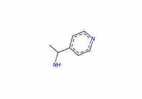 CC([NH])c1ccncc1